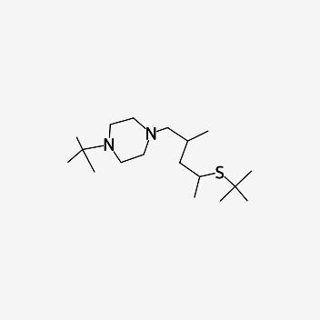 CC(CC(C)SC(C)(C)C)CN1CCN(C(C)(C)C)CC1